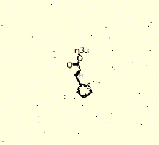 CCCCOC(=O)/C=C/c1cccs1